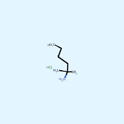 CC(C)(N)CCCC(=O)O.Cl